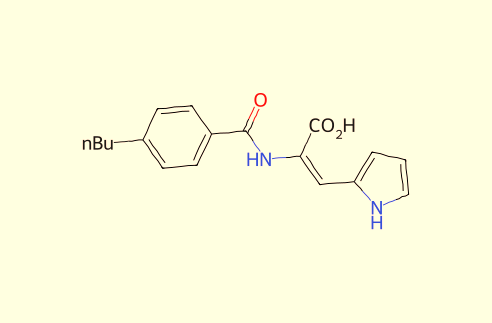 CCCCc1ccc(C(=O)N/C(=C/c2ccc[nH]2)C(=O)O)cc1